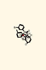 Cc1cccc(CN2[C@@H]3C(=O)C=C[C@H]2[C@@H]2C(=O)N(c4cccc(Br)c4)C(=O)[C@@H]23)c1